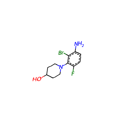 Nc1ccc(F)c(N2CCC(O)CC2)c1Br